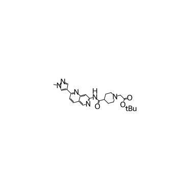 Cn1cc(-c2ccc3cnc(NC(=O)C4CCN(CC(=O)OC(C)(C)C)CC4)cc3n2)cn1